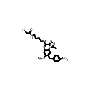 COc1cc2nc(NCCCCNC(=O)CC(C)C)c3nnc(C)n3c2cc1Cc1ccc([N+](=O)[O-])cc1